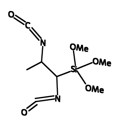 CO[Si](OC)(OC)C(N=C=O)C(C)N=C=O